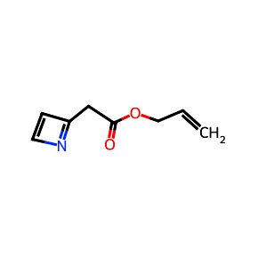 C=CCOC(=O)CC1=NC=C1